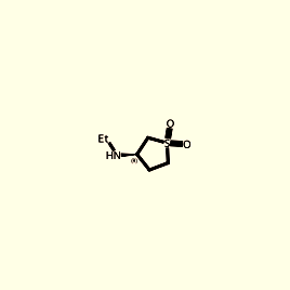 CCN[C@@H]1CCS(=O)(=O)C1